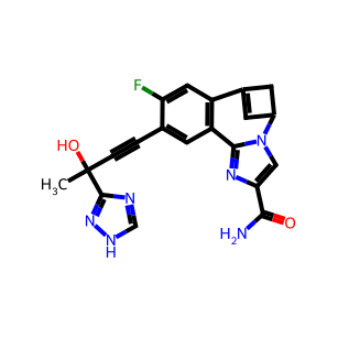 CC(O)(C#Cc1cc2c(cc1F)C1=CC(C1)n1cc(C(N)=O)nc1-2)c1nc[nH]n1